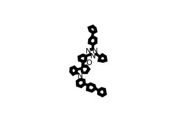 C1=CC2C(c3ccccc3N2c2cccc(-c3ccc(-c4ccccc4)cc3)c2)c2c1oc1c(-c3nc(-c4ccccc4)nc(-c4ccc(-c5ccccc5)cc4)n3)cccc21